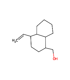 C=CC1CCC(CO)C2CCCCC12